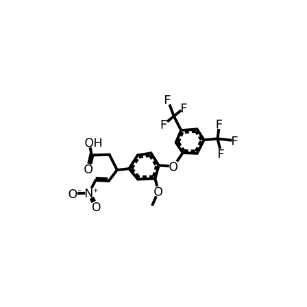 COc1cc(C(/C=C/[N+](=O)[O-])CC(=O)O)ccc1Oc1cc(C(F)(F)F)cc(C(F)(F)F)c1